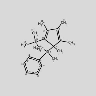 CC1=C(C)C(C)([Si](C)(C)c2ccccc2)[C]([Ti]([CH3])([CH3])[CH3])=C1C